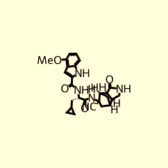 COc1cccc2[nH]c(C(=O)N[C@@H](CC3CC3)C(=O)N[C@@]3(C#N)C[C@@H]4CC[C@H]3[C@H]3C(=O)NC[C@H]43)cc12